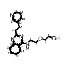 OCCOCCNc1nc(CCc2cccnc2)nc2ccccc12